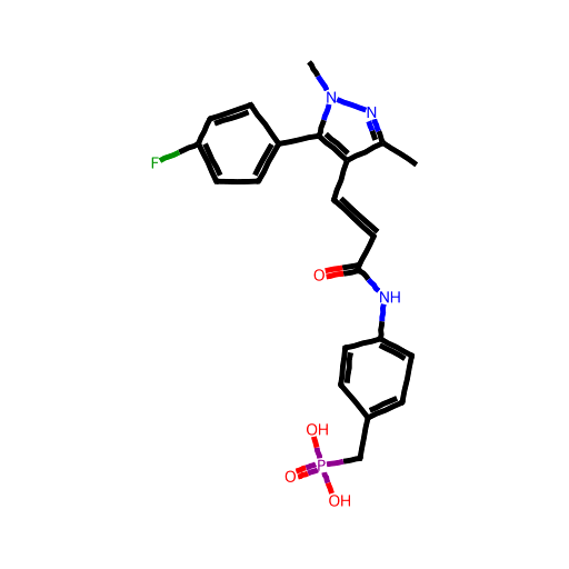 Cc1nn(C)c(-c2ccc(F)cc2)c1/C=C/C(=O)Nc1ccc(CP(=O)(O)O)cc1